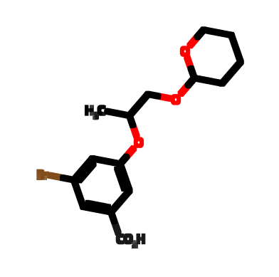 CC(COC1CCCCO1)Oc1cc(Br)cc(C(=O)O)c1